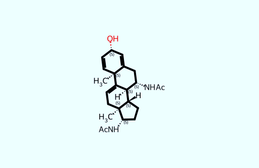 CC(=O)N[C@H]1CC2=C[C@@H](O)C=C[C@]2(C)C2=CC[C@]3(C)[C@@H](NC(C)=O)CC[C@H]3[C@@H]21